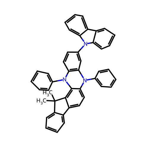 CC1(C)c2ccccc2-c2ccc3c(c21)N(c1ccccc1)c1ccc(-n2c4ccccc4c4ccccc42)cc1N3c1ccccc1